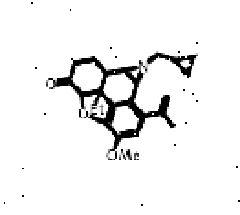 C=C(C)c1cc(OC)c2c3c1C1C(C4CCC(=O)C(O2)[C@@]34CC)N1CC1CC1